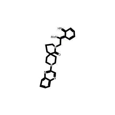 CN/C(CN1CCCC2(CCN(c3cnc4ccccc4n3)CC2)C1=O)=C1/C=CC=CC1=N